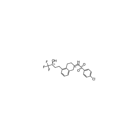 O=S(=O)(N[C@@H]1CCc2c(CC[C@H](O)C(F)(F)F)cccc2C1)c1ccc(Cl)cc1